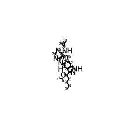 CCCCC(OCC)c1n[nH]c2cc(OC)c(Nc3cc(NC4CC4)ncn3)cc12